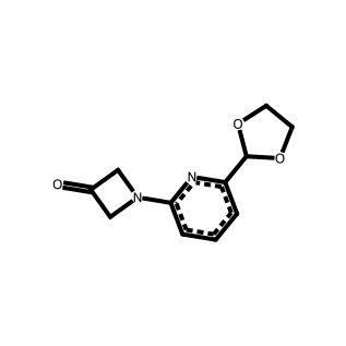 O=C1CN(c2cccc(C3OCCO3)n2)C1